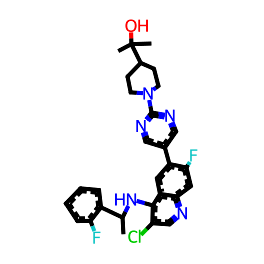 CC(Nc1c(Cl)cnc2cc(F)c(-c3cnc(N4CCC(C(C)(C)O)CC4)nc3)cc12)c1ccccc1F